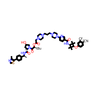 Cc1ncsc1-c1ccc([C@H](C)NC(=O)[C@@H]2C[C@@H](O)CN2C(=O)[C@@H](OC(=O)CN2CCN(CCCN3CCN(c4ccc(C(=O)N[C@H]5C(C)(C)[C@H](Oc6ccc(C#N)c(C(F)(F)F)c6)C5(C)C)cn4)CC3)CC2)C(C)(C)C)cc1